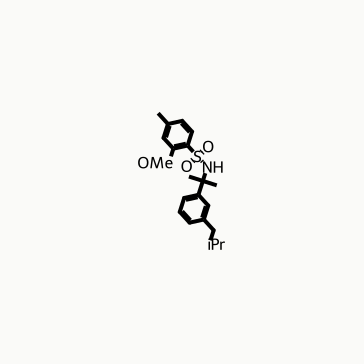 COc1cc(C)ccc1S(=O)(=O)NC(C)(C)c1cccc(CC(C)C)c1